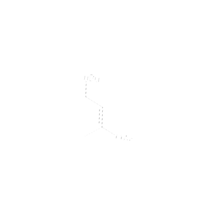 CCCCC/C=C(\C)OC(C)=O